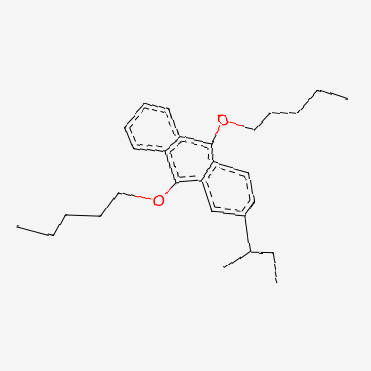 CCCCCOc1c2ccccc2c(OCCCCC)c2cc(C(C)CC)ccc12